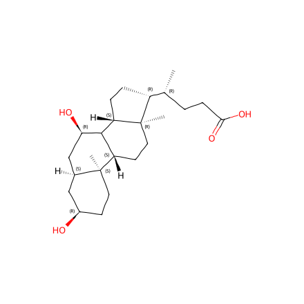 C[C@H](CCC(=O)O)[C@H]1CC[C@H]2C3[C@H](O)C[C@@H]4C[C@H](O)CC[C@]4(C)[C@H]3CC[C@]12C